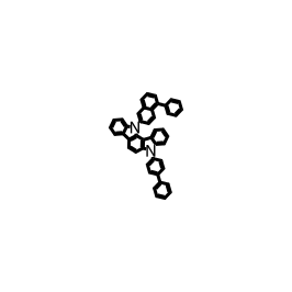 c1ccc(-c2ccc(-n3c4ccccc4c4c3ccc3c5ccccc5n(-c5ccc6c(-c7ccccc7)cccc6c5)c34)cc2)cc1